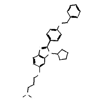 CCN(CC)CCCOc1ccc2nc(-c3ccc(OCc4ccccc4)cc3)n(C3CCCC3)c2c1